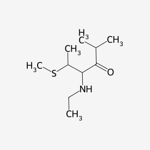 CCNC(C(=O)C(C)C)C(C)SC